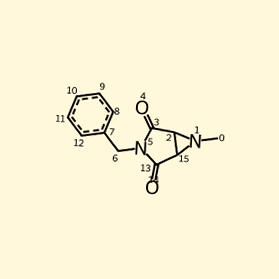 CN1C2C(=O)N(Cc3ccccc3)C(=O)C21